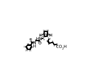 O=C(O)CCC/C=C\C[C@@H]1[C@H](CNC(=O)CNC(=S)c2ccccc2)[C@@H]2CC[C@H]1O2